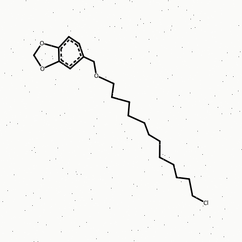 ClCCCCCCCCCCCCOCc1ccc2c(c1)OCO2